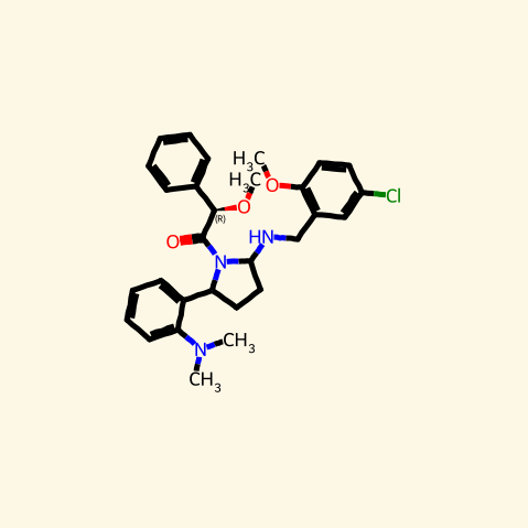 COc1ccc(Cl)cc1CNC1CCC(c2ccccc2N(C)C)N1C(=O)[C@H](OC)c1ccccc1